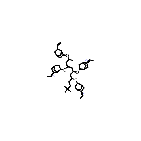 C=CC1CC2CC(OC(C)CC(CC(CC(CCC(C)(C)C)OC3CC4CC3C/C4=C/C)OC3CC4CC3C/C4=C\C)OC3CC4C/C(=C\C)C3C4)C1C2